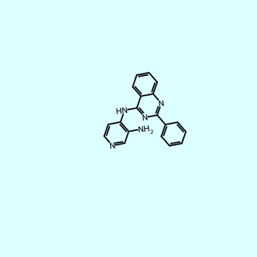 Nc1cnccc1Nc1nc(-c2ccccc2)nc2ccccc12